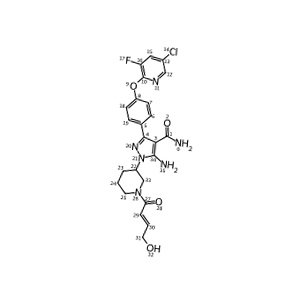 NC(=O)c1c(-c2ccc(Oc3ncc(Cl)cc3F)cc2)nn(C2CCCN(C(=O)/C=C/CO)C2)c1N